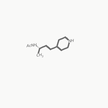 CC(=O)N[C@@H](C)CCC1CCNCC1